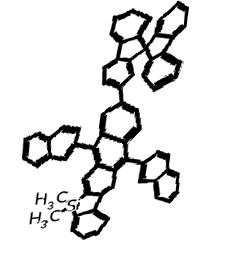 C[Si]1(C)c2ccccc2-c2cc3c(-c4ccc5ccccc5c4)c4ccc(-c5ccc6c(c5)C5(c7ccccc7-c7ccccc75)c5ccccc5-6)cc4c(-c4ccc5ccccc5c4)c3cc21